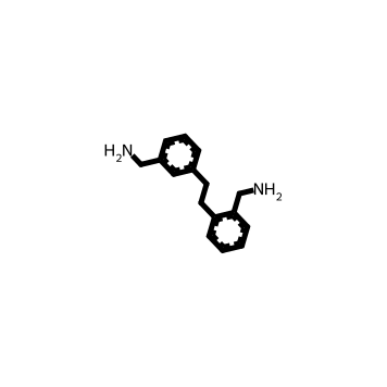 NCc1cccc(CCc2ccccc2CN)c1